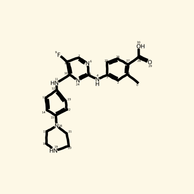 Cc1cc(Nc2ncc(F)c(Nc3ccc(N4CCNCC4)cc3)n2)ccc1C(=O)O